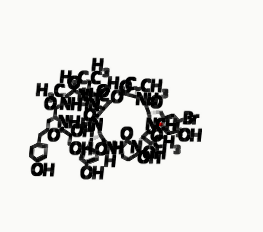 CC(C)[C@H](NC(=O)[C@@H](C)NC(=O)[C@H](CCCc1ccc(O)cc1)NC(=O)[C@H](O)CO)C(=O)N[C@@H]1C(=O)N[C@@H](Cc2ccc(O)cc2)C(=O)N[C@H]2CC[C@@H](O)N(C2=O)[C@@H]([C@@H](C)O)C(=O)N(C)[C@@H](Cc2ccc(O)c(Br)c2)C(=O)N[C@@H](C(C)C)C(=O)O[C@@H]1C